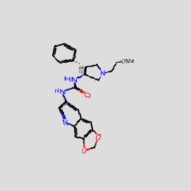 COCCN1C[C@@H](NC(=O)Nc2cnc3cc4c(cc3c2)OCO4)[C@H](c2ccccc2)C1